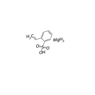 C=Cc1ccccc1S(=O)(=O)O.[MgH2]